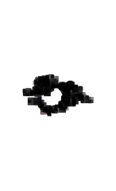 C=C1C[C@@H]2CCC(O)/C=C/[C@H](O[Si](C)(C)C(C)(C)C)[C@@H]3O[C@H]4CC[C@H](CC(=O)C(S(=O)(=O)c5ccccc5)C5[C@H](CC6O[C@@H](CCC1O2)C[C@@H](C)C6=C)O[C@H](C[C@@H](CO[Si](C)(C)C(C)(C)C)O[Si](C)(C)C(C)(C)C)[C@@H]5OC)O[C@@H]4[C@H](O[Si](C)(C)C(C)(C)C)[C@@H]3O[Si](C)(C)C(C)(C)C